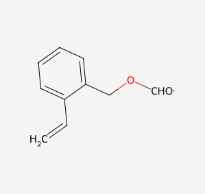 C=Cc1ccccc1CO[C]=O